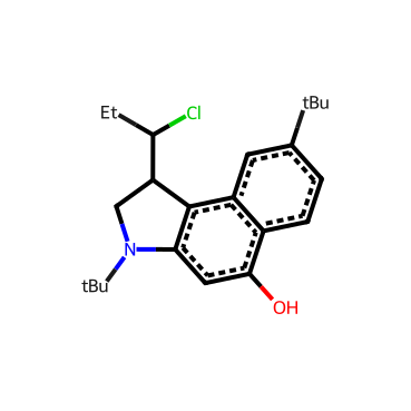 CCC(Cl)C1CN(C(C)(C)C)c2cc(O)c3ccc(C(C)(C)C)cc3c21